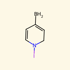 BC1=CCN(I)C=C1